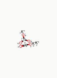 [K+].[K+].[K+].[O]=[Al][O-].[O]=[Ti]([O-])[O-]